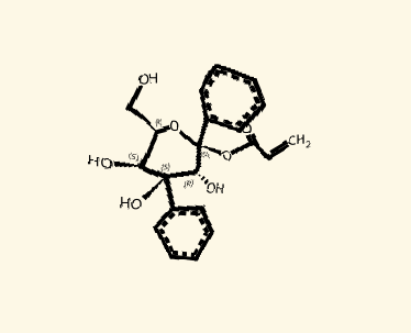 C=CC(=O)O[C@]1(c2ccccc2)O[C@H](CO)[C@H](O)[C@@](O)(c2ccccc2)[C@H]1O